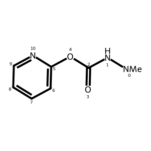 CNNC(=O)Oc1ccccn1